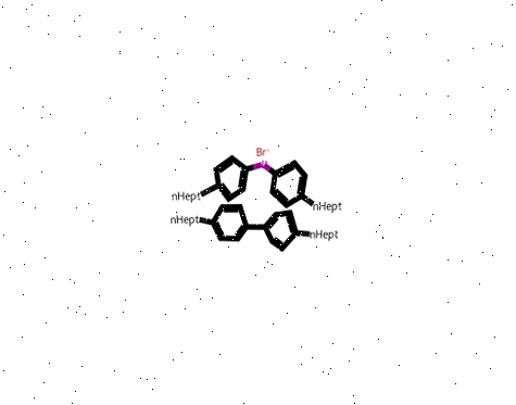 CCCCCCCc1ccc(-c2ccc(CCCCCCC)cc2)cc1.CCCCCCCc1ccc([I+]c2ccc(CCCCCCC)cc2)cc1.[Br-]